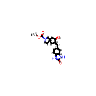 CC(C)(C)OC(=O)N1CCC2(CC(=O)C(=Cc3ccc4[nH]c(=O)[nH]c4c3)C2)C1